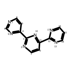 [c]1cnc(-c2ccncn2)nc1-c1ncccn1